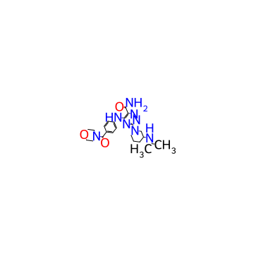 CC(C)NC1CCCN(c2nnc(C(N)=O)c(Nc3ccc(C(=O)N4CCOCC4)cc3)n2)C1